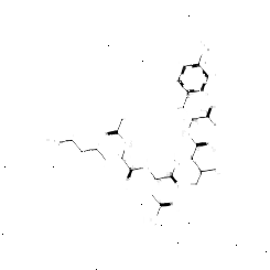 CC(=O)N[C@@H](CCCCN)C(=O)N[C@@H](CC(=O)O)C(=O)N[C@H](C(=O)N[C@@H](Cc1ccc(O)cc1)C(=O)O)C(C)C